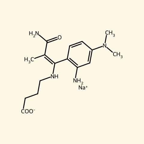 CC(C(N)=O)=C(NCCCC(=O)[O-])c1ccc(N(C)C)cc1N.[Na+]